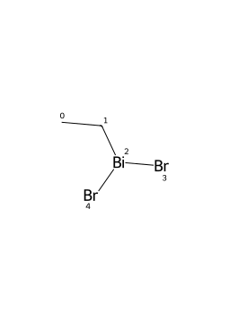 C[CH2][Bi]([Br])[Br]